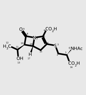 CC(=O)N[C@@H](CSC1=C(C(=O)O)N2C(=O)[C@H](C(C)O)[C@H]2C1)C(=O)O